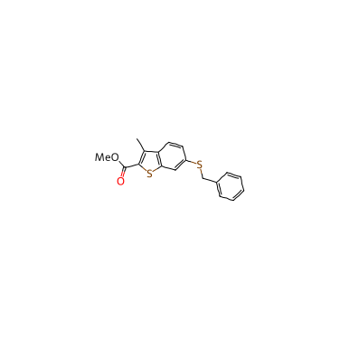 COC(=O)c1sc2cc(SCc3ccccc3)ccc2c1C